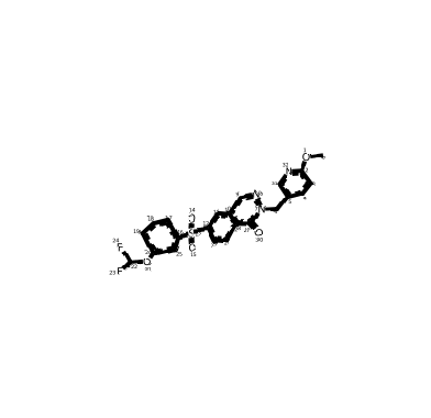 COc1ccc(Cn2ncc3cc(S(=O)(=O)c4cccc(OC(F)F)c4)ccc3c2=O)cn1